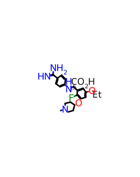 CCOc1cc(OC2CCN(C)CC2)c(F)c([C@H](Nc2ccc(C(=N)N)cc2)C(=O)O)c1